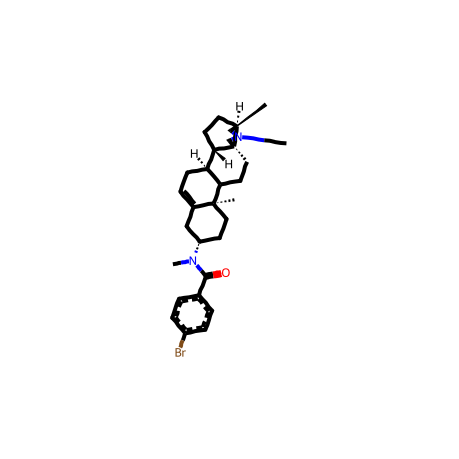 C[C@H]1[C@H]2CC[C@H]3[C@@H]4CC=C5C[C@@H](N(C)C(=O)c6ccc(Br)cc6)CC[C@]5(C)C4CC[C@]23CN1C